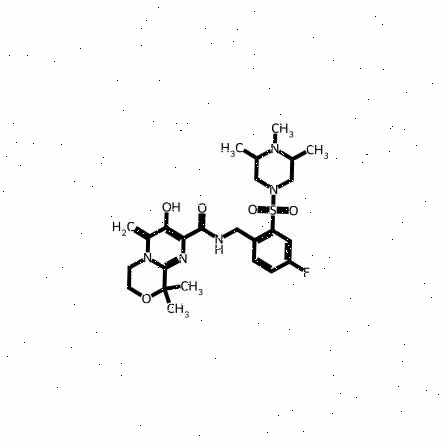 C=C1C(O)=C(C(=O)NCc2ccc(F)cc2S(=O)(=O)N2CC(C)N(C)C(C)C2)N=C2N1CCOC2(C)C